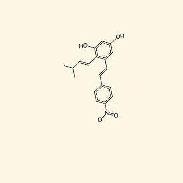 CC(C)C=Cc1c(O)cc(O)cc1C=Cc1ccc([N+](=O)[O-])cc1